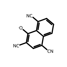 N#Cc1cc(C#N)c2cccc(C#N)c2c1[O]